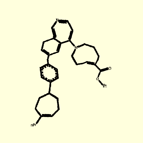 CCCC1=CCCC(c2ccc(C3=CCC4=CN=CC=C(N5CC/C=C(\C(=O)OC(C)C)CCC5)C4=C3)cc2)CC1